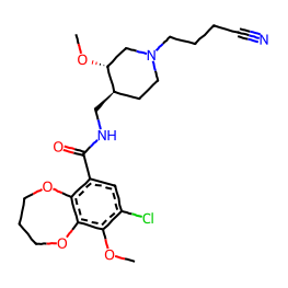 COc1c(Cl)cc(C(=O)NC[C@@H]2CCN(CCCC#N)C[C@H]2OC)c2c1OCCCO2